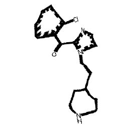 O=C(c1ccccc1Cl)c1nccn1CCC1CCNCC1